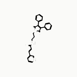 O=C(C=Cc1cccnc1)NCCCN1C(=O)C(c2ccccc2)=C(c2ccccc2)C1=O